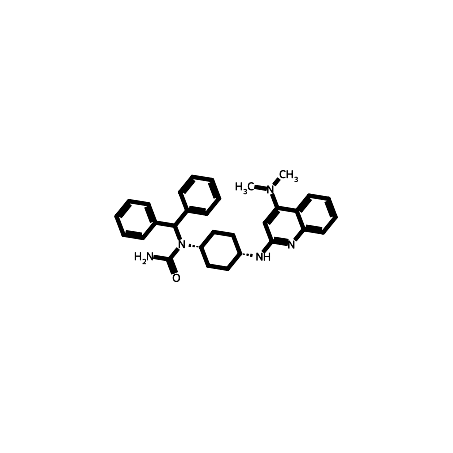 CN(C)c1cc(N[C@H]2CC[C@@H](N(C(N)=O)C(c3ccccc3)c3ccccc3)CC2)nc2ccccc12